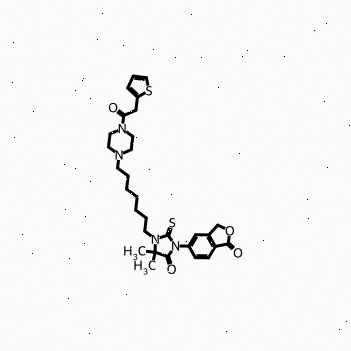 CC1(C)C(=O)N(c2ccc3c(c2)COC3=O)C(=S)N1CCCCCCCN1CCN(C(=O)Cc2cccs2)CC1